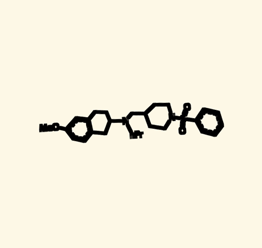 CCCN(CC1CCN(S(=O)(=O)c2ccccc2)CC1)C1CCc2cc(OC)ccc2C1